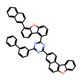 c1ccc(-c2cccc(-c3nc(-c4ccc5c(ccc6oc7ccccc7c65)c4)nc(-c4cccc5oc6c(-c7ccc8ccccc8c7)cccc6c45)n3)c2)cc1